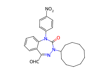 O=CC1=NN(C2CCCCCCCCC2)C(=O)N(c2ccc([N+](=O)[O-])cc2)c2ccccc21